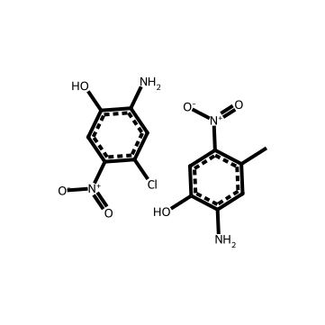 Cc1cc(N)c(O)cc1[N+](=O)[O-].Nc1cc(Cl)c([N+](=O)[O-])cc1O